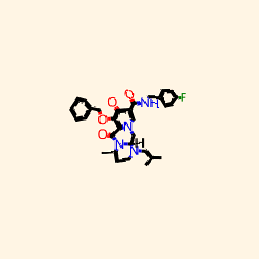 CC(C)CN1CC[C@@H](C)N2C(=O)c3c(OCc4ccccc4)c(=O)c(C(=O)NCc4ccc(F)cc4)cn3C[C@H]12